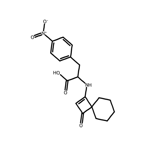 O=C(O)C(Cc1ccc([N+](=O)[O-])cc1)NC1=CC(=O)C12CCCCC2